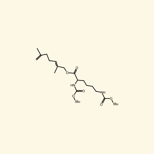 C=C(C)CC/C=C(\C)COC(=O)C(CCCCNC(=O)OC(C)(C)C)NC(=O)OC(C)(C)C